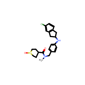 CN(Cc1ccc(NC2Cc3ccc(Cl)cc3C2)cc1)C(=O)C1CC[S+]([O-])CC1